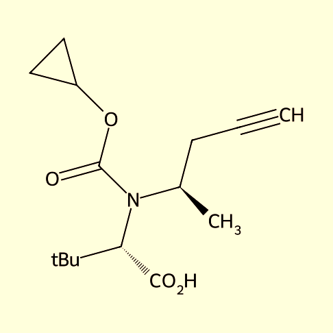 C#CC[C@@H](C)N(C(=O)OC1CC1)[C@H](C(=O)O)C(C)(C)C